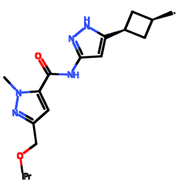 [CH2][C@H]1C[C@@H](c2cc(NC(=O)c3cc(COC(C)C)nn3C)n[nH]2)C1